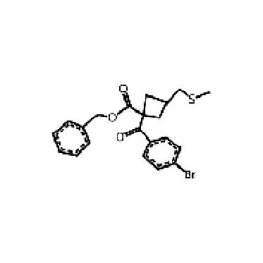 CSCC1CC(C(=O)OCc2ccccc2)(C(=O)c2ccc(Br)cc2)C1